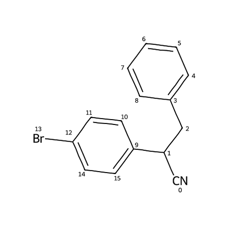 N#CC(Cc1ccccc1)c1ccc(Br)cc1